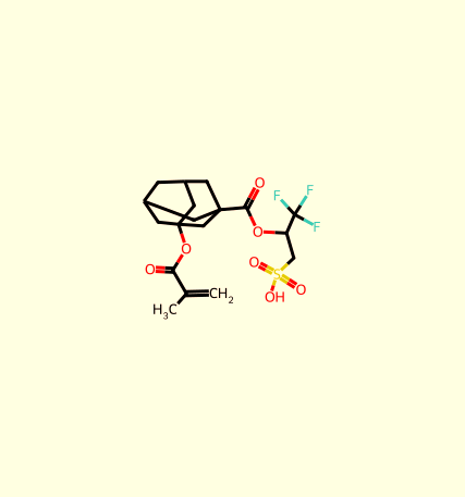 C=C(C)C(=O)OC12CC3CC(C1)CC(C(=O)OC(CS(=O)(=O)O)C(F)(F)F)(C3)C2